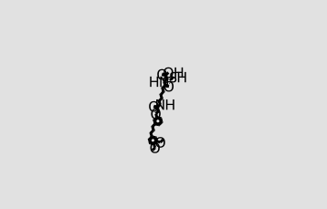 COc1ccc(CCCc2cccc(OCC(=O)NCCCCCC(=O)N[C@@H](CS)C(=O)O)c2)cc1OC